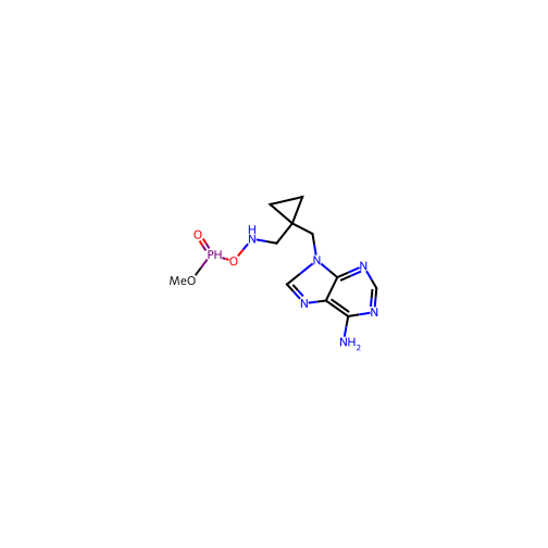 CO[PH](=O)ONCC1(Cn2cnc3c(N)ncnc32)CC1